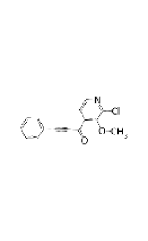 COc1c(C(=O)C#Cc2ccccc2)ccnc1Cl